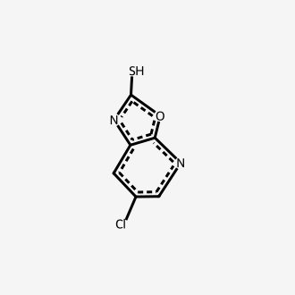 Sc1nc2cc(Cl)cnc2o1